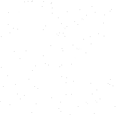 CCOCCn1cc(NC(=O)c2ccc(-c3cn[nH]c3)o2)c(-c2nccs2)n1